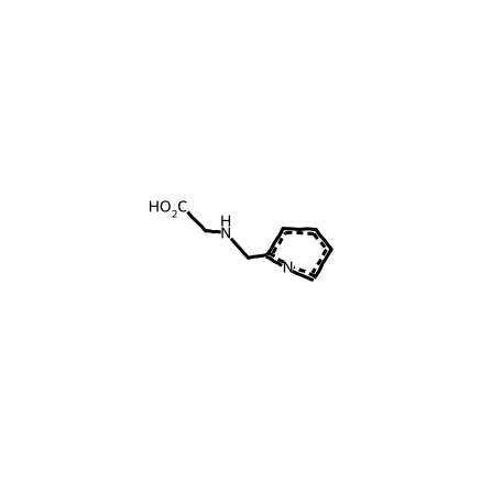 O=C(O)CNCc1ccccn1